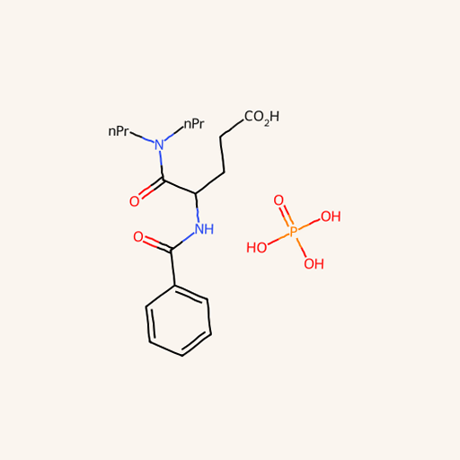 CCCN(CCC)C(=O)C(CCC(=O)O)NC(=O)c1ccccc1.O=P(O)(O)O